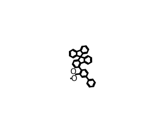 COC(=O)c1cc(-c2ccccc2)ccc1-c1cccc2c1-c1ccccc1C21c2ccccc2-c2ccccc21